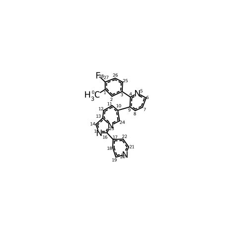 Cc1cc(-c2ncccc2-c2ccc3cnc(-c4ccncc4)n3c2)ccc1F